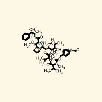 CC[C@H](C)[C@@H]([C@@H](CC(=O)N1CCC[C@H]1[C@H](OC)[C@@H](C)C(=O)N[C@H](C)[C@@H](O)c1ccccc1)OC)N(C)C(=O)C(NC(=O)C(C(C)C)N(C)C(=O)OCc1ccc(NC=O)cc1)C(C)C